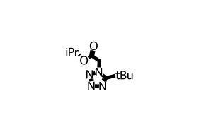 CC(C)OC(=O)Cn1nnnc1C(C)(C)C